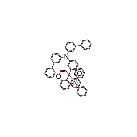 c1ccc(-c2cccc(N(c3cccc(-c4ccccc4)c3)c3ccc4c(c3)C3(c5ccccc5O4)c4ccccc4Oc4cccc(N(c5ccccc5)c5ccccc5)c43)c2)cc1